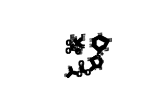 CC(C)OC(=O)OC1CC[S+](c2ccccc2)C1.O=S(=O)([O-])C(F)(F)F